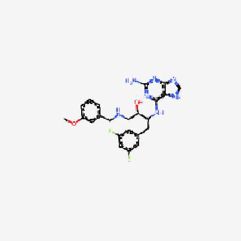 COc1cccc(CNCC(O)C(Cc2cc(F)cc(F)c2)Nc2nc(N)nc3nc[nH]c23)c1